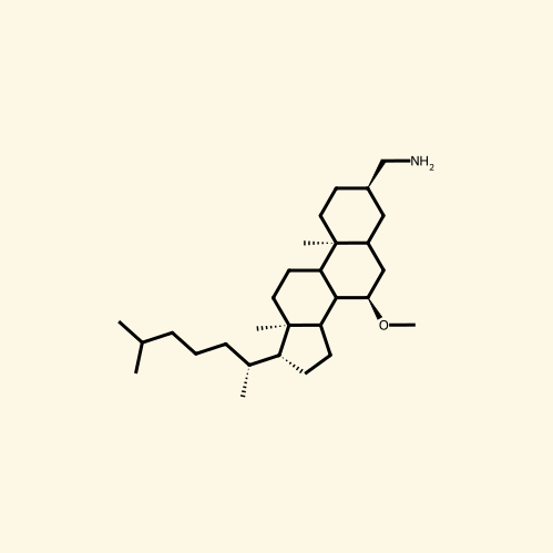 CO[C@@H]1CC2C[C@H](CN)CC[C@]2(C)C2CC[C@@]3(C)C(CC[C@@H]3[C@H](C)CCCC(C)C)C21